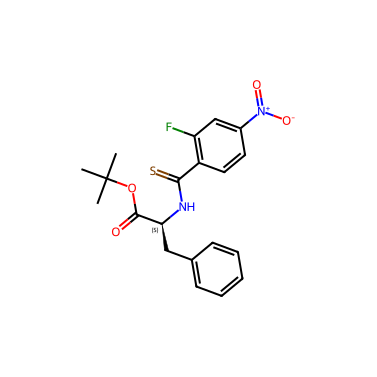 CC(C)(C)OC(=O)[C@H](Cc1ccccc1)NC(=S)c1ccc([N+](=O)[O-])cc1F